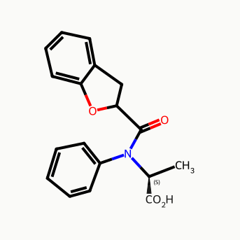 C[C@@H](C(=O)O)N(C(=O)C1Cc2ccccc2O1)c1ccccc1